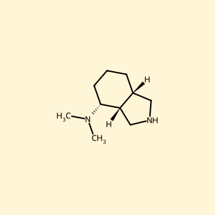 CN(C)[C@@H]1CCC[C@@H]2CNC[C@@H]21